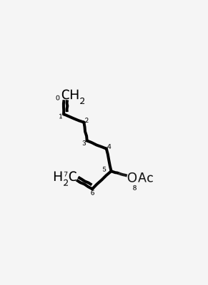 C=CCCCC(C=C)OC(C)=O